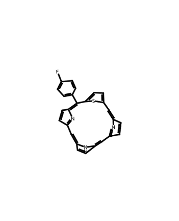 Fc1ccc(-c2c3nc(cc4ccc(cc5nc(cc6ccc2s6)C=C5)[nH]4)C=C3)cc1